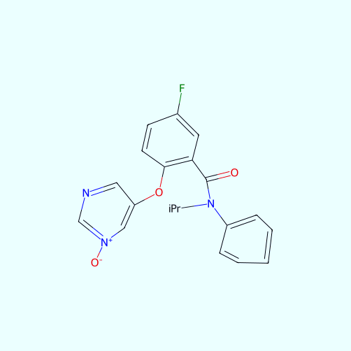 CC(C)N(C(=O)c1cc(F)ccc1Oc1cnc[n+]([O-])c1)c1ccccc1